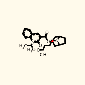 CC(C)n1c(=O)c(C(=O)OC2CC3CCC(C2)N3CCCCO)cc2ccccc21.Cl